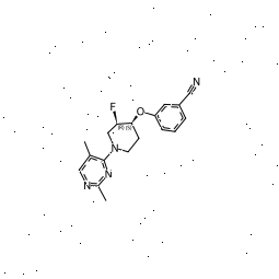 Cc1ncc(C)c(N2CC[C@H](Oc3cccc(C#N)c3)[C@H](F)C2)n1